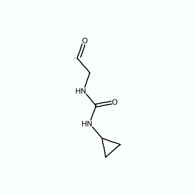 O=[C]CNC(=O)NC1CC1